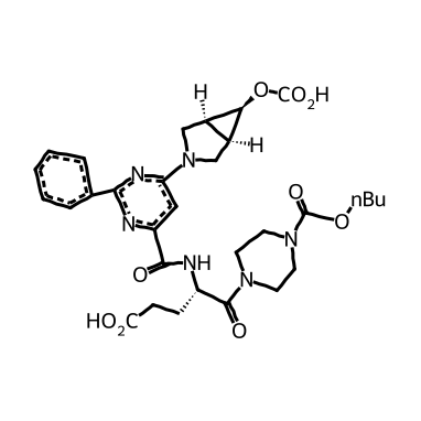 CCCCOC(=O)N1CCN(C(=O)[C@H](CCC(=O)O)NC(=O)c2cc(N3C[C@@H]4[C@H](C3)[C@@H]4OC(=O)O)nc(-c3ccccc3)n2)CC1